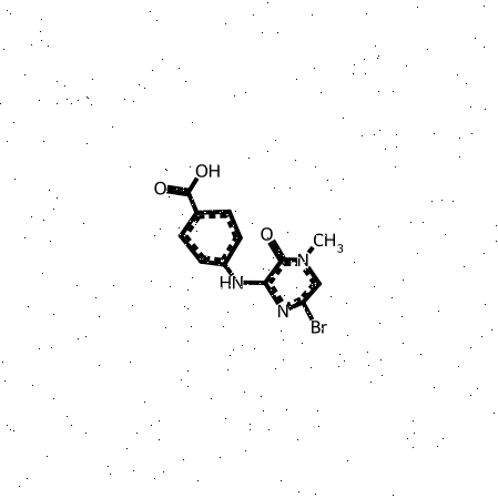 Cn1cc(Br)nc(Nc2ccc(C(=O)O)cc2)c1=O